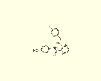 N#Cc1ccc(NC(=O)c2nccnc2NCc2ccc(F)cc2)cc1